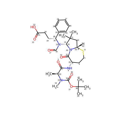 C[C@@H](C(=O)N[C@H]1CCS[C@H]2CC(C)(C)[C@@H](N(C=O)[C@H](CCC(=O)O)c3ccccc3)N2C1=O)N(C)C(=O)OC(C)(C)C